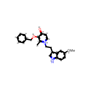 COc1ccc2[nH]cc(CCn3ccc(=O)c(OCc4ccccc4)c3C)c2c1